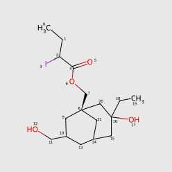 CCC(I)C(=O)OC[C@@]12CC(CO)CC(CC(O)(CC)C1)C2